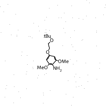 COc1cc(OCCOC(C)(C)C)cc(OC)c1N